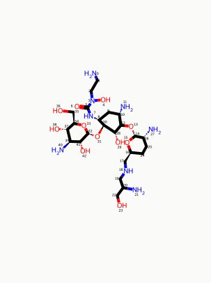 NCCN(O)C(=O)N[C@@H]1C[C@H](N)C(O[C@H]2O[C@H](CNCC(N)CO)CC[C@H]2N)[C@H](O)[C@H]1O[C@H]1O[C@H](CO)[C@@H](O)[C@H](N)[C@H]1O